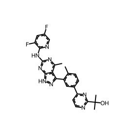 Cc1ccc(-c2ccnc(C(C)(C)O)n2)cc1-c1n[nH]c2nc(Nc3ncc(F)cc3F)nc(C)c12